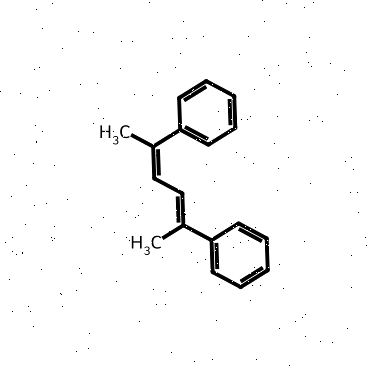 C/C(=C/C=C(\C)c1ccccc1)c1ccccc1